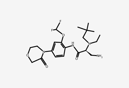 CCN(CC(C)(C)C)[C@@H](CN)C(=O)Nc1ccc(N2CCOCC2=O)cc1OC(F)F